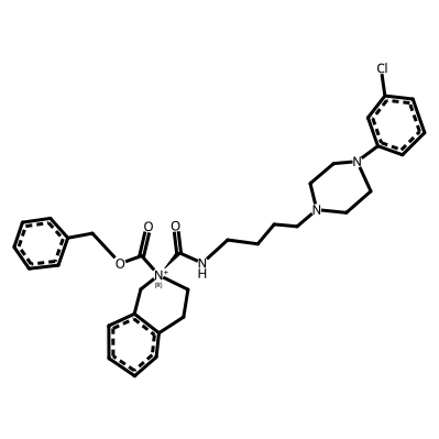 O=C(NCCCCN1CCN(c2cccc(Cl)c2)CC1)[N@@+]1(C(=O)OCc2ccccc2)CCc2ccccc2C1